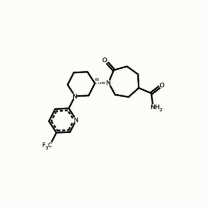 NC(=O)C1CCC(=O)N([C@H]2CCCN(c3ccc(C(F)(F)F)cn3)C2)CC1